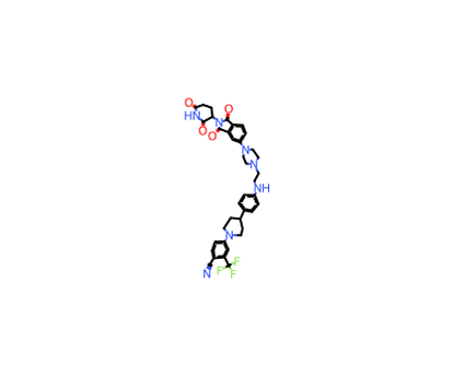 N#Cc1ccc(N2CCC(c3ccc(NCCN4CCN(c5ccc6c(c5)C(=O)N(C5CCC(=O)NC5=O)C6=O)CC4)cc3)CC2)cc1C(F)(F)F